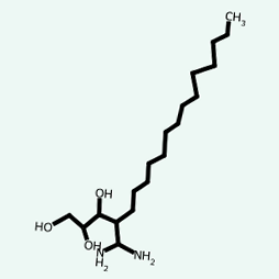 CCCCCCCCCCCCCCC(C(N)N)C(O)C(O)CO